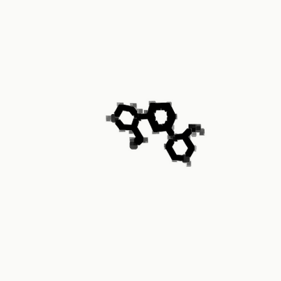 NC1COCCN1c1cccc(N2CCOCC2C=O)c1